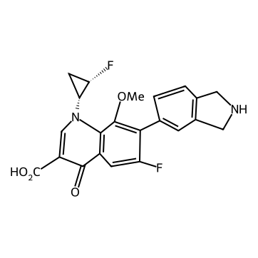 COc1c(-c2ccc3c(c2)CNC3)c(F)cc2c(=O)c(C(=O)O)cn([C@@H]3C[C@@H]3F)c12